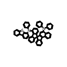 c1ccc(N(c2ccccc2)c2cc3c(c4ccccc24)-c2ccccc2C32c3ccccc3-c3c(N(c4ccccc4)c4cccc5c4sc4ccccc45)cccc32)cc1